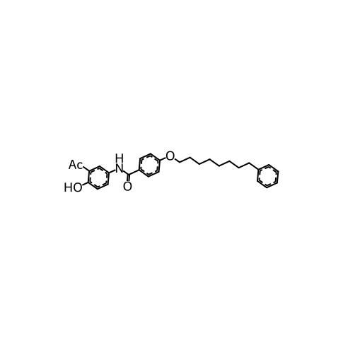 CC(=O)c1cc(NC(=O)c2ccc(OCCCCCCCCc3ccccc3)cc2)ccc1O